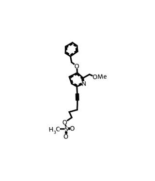 COCc1nc(C#CCCCOS(C)(=O)=O)ccc1OCc1ccccc1